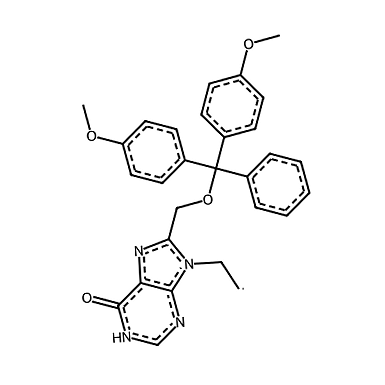 [CH2]Cn1c(COC(c2ccccc2)(c2ccc(OC)cc2)c2ccc(OC)cc2)nc2c(=O)[nH]cnc21